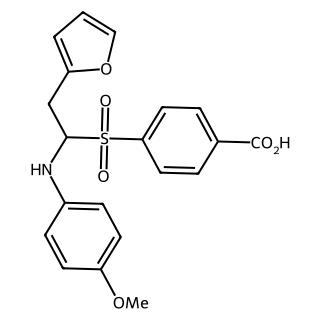 COc1ccc(NC(Cc2ccco2)S(=O)(=O)c2ccc(C(=O)O)cc2)cc1